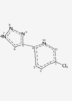 Clc1ccc(-c2c[nH]nn2)nc1